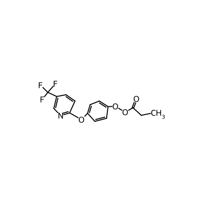 CCC(=O)OOc1ccc(Oc2ccc(C(F)(F)F)cn2)cc1